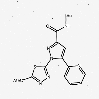 COc1nnc(-n2nc(C(=O)NC(C)(C)C)cc2-c2ccccn2)s1